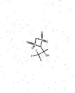 CC(O)(C1S(=O)(=O)CS1(=O)=O)C(F)(F)F